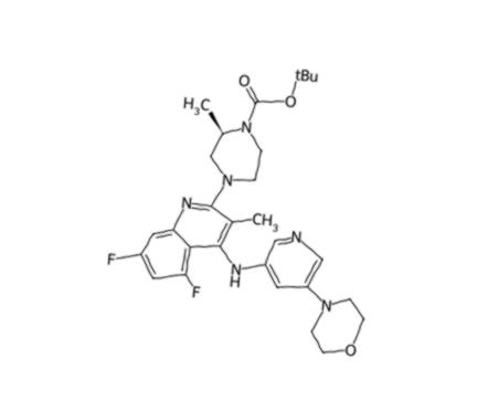 Cc1c(N2CCN(C(=O)OC(C)(C)C)[C@H](C)C2)nc2cc(F)cc(F)c2c1Nc1cncc(N2CCOCC2)c1